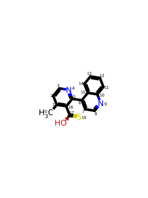 Cc1ccnc(-c2ccnc3ccccc23)c1C(O)=S